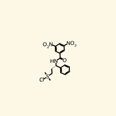 CS(C)(Cl)CC[C@H](NC(=O)c1cc([N+](=O)[O-])cc([N+](=O)[O-])c1)c1ccccc1